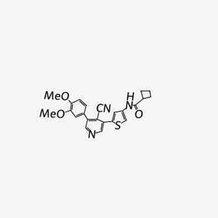 COc1ccc(-c2cncc(-c3cc(NC(=O)C4CCC4)cs3)c2C#N)cc1OC